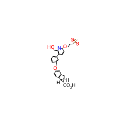 CS(=O)(=O)CCCOc1ccc(-c2cccc(COc3ccc4c(c3)C[C@H]3[C@H](C(=O)O)[C@@H]43)c2)c(CO)n1